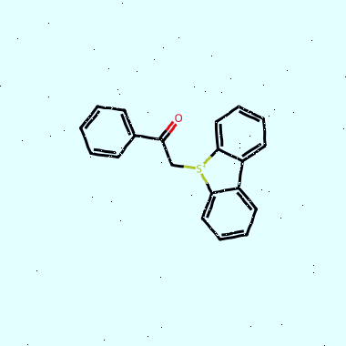 O=C(C[s+]1c2ccccc2c2ccccc21)c1ccccc1